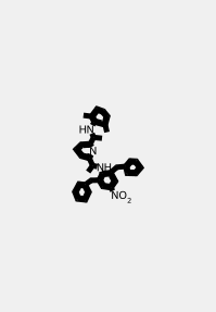 Cc1cccc(C)c1NC(C)c1cccc(C(C)Nc2c(Cc3ccccc3)cc([N+](=O)[O-])cc2Cc2ccccc2)n1